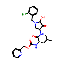 CC(C)C[C@H](NC(=O)OCc1ccccn1)C(=O)NC1CN(Cc2ccccc2Br)C(O)C1=O